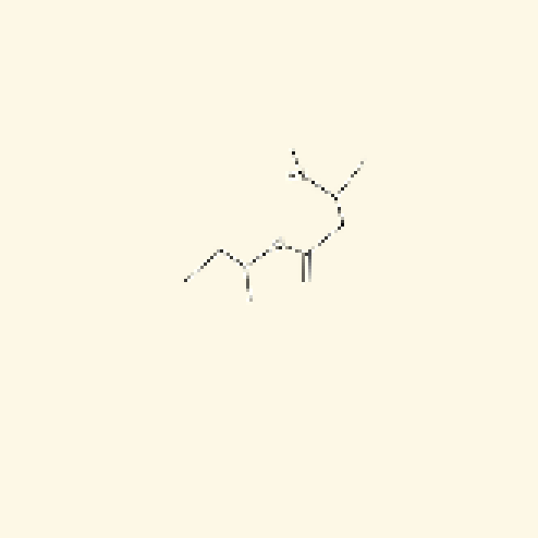 C=C(CC(C)NC)OC(C)CC